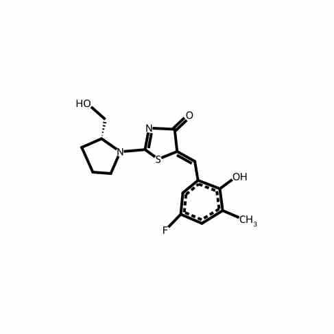 Cc1cc(F)cc(/C=C2\SC(N3CCC[C@@H]3CO)=NC2=O)c1O